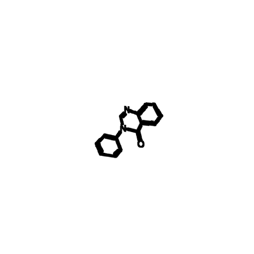 O=c1c2ccccc2ncn1-c1ccccc1